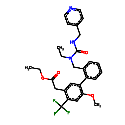 CCOC(=O)Cc1cc(-c2ccccc2CN(CC)C(=O)NCc2ccncc2)c(OC)cc1C(F)(F)F